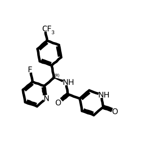 O=C(N[C@H](c1ccc(C(F)(F)F)cc1)c1ncccc1F)c1ccc(=O)[nH]c1